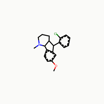 COc1ccc2c(c1)C(c1ccccc1Cl)C1CCCN(C)C21